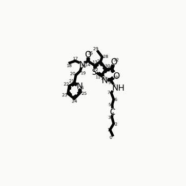 CCCCCCCCNc1nc2sc(C(=O)N(CC)CCc3ccccn3)c(CC)c2c(=O)o1